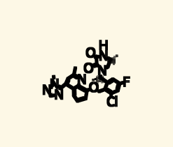 Cc1cc(-c2ncnn2C)c2cccc(OCc3c(Cl)cc(F)cc3[C@H](C)N3C[C@@H](C)NC(=O)C3=O)c2n1